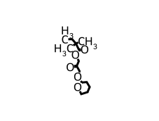 CCC(C)(C)C(=O)OCC(=O)COC1CCCCO1